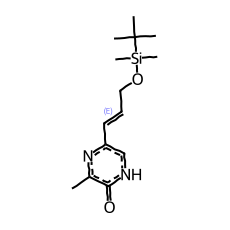 Cc1nc(/C=C/CO[Si](C)(C)C(C)(C)C)c[nH]c1=O